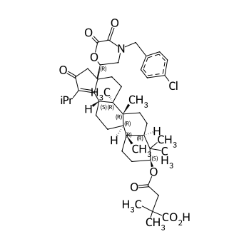 CC(C)C1=C2[C@H]3CC[C@@H]4[C@@]5(C)CC[C@H](OC(=O)CC(C)(C)C(=O)O)C(C)(C)[C@@H]5CC[C@@]4(C)[C@]3(C)CCC2([C@@H]2CN(Cc3ccc(Cl)cc3)C(=O)C(=O)O2)CC1=O